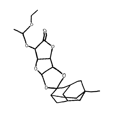 CCOC(C)OC1C(=O)OC2C3OC4(OC3OC12)C1CC2CC4CC(C)(C2)C1